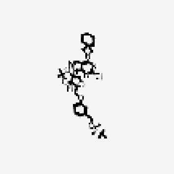 CC1(C)O[C@@H]2C(COc3cccc(CO[Si](C)(C)C(C)(C)C)c3)OC[C@@]2(n2ncc3c(N4CC5(CCCCC5)C4)nc(Cl)nc32)O1